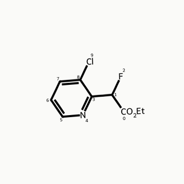 CCOC(=O)C(F)c1ncccc1Cl